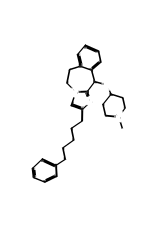 CN1CCC(OC2c3ccccc3CCn3cc(CCCCCc4ccccc4)nc32)CC1